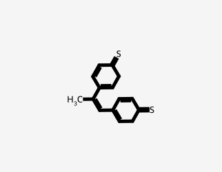 CC(=CC1=CCC(=S)C=C1)C1=CCC(=S)C=C1